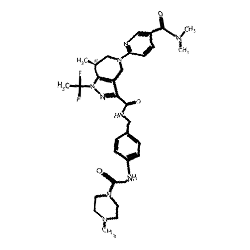 C[C@H]1CN(c2ccc(C(=O)N(C)C)cn2)Cc2c(C(=O)NCc3ccc(NC(=O)N4CCN(C)CC4)cc3)nn(C(C)(F)F)c21